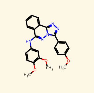 COc1ccc(-c2nnc3c4ccccc4c(Nc4ccc(OC)c(OC)c4)nn23)cc1